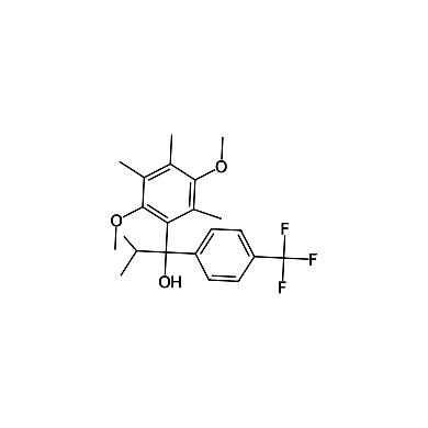 COc1c(C)c(C)c(OC)c(C(O)(c2ccc(C(F)(F)F)cc2)C(C)C)c1C